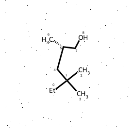 CCC(C)(C)C[C@H](C)CO